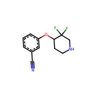 N#Cc1cccc(OC2CCNCC2(F)F)c1